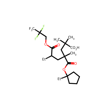 CCC(CC(C)(CC(C)(C)C(=O)O)C(=O)OC1(CC)CCCC1)C(=O)OCC(F)(F)C(F)(F)F